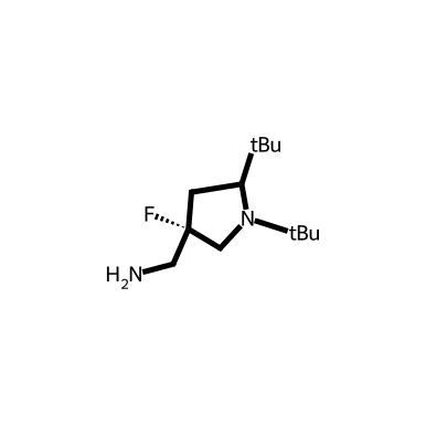 CC(C)(C)C1C[C@](F)(CN)CN1C(C)(C)C